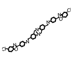 Clc1ccc2oc(-c3ccc(/N=C/c4ccc5c(c4)CN4CN5Cc5cc(/C=N/c6ccc(-c7nc8cc(Cl)ccc8o7)cc6)ccc54)cc3)nc2c1